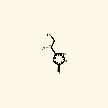 N#CC[C@@H](N)c1nc(=O)[nH][nH]1